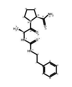 C[C@H](NC(=O)NCCc1ccccc1)C(=O)N1CCC[C@H]1C(N)=O